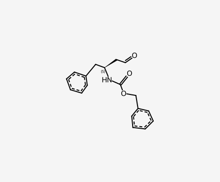 O=CC[C@H](Cc1ccccc1)NC(=O)OCc1ccccc1